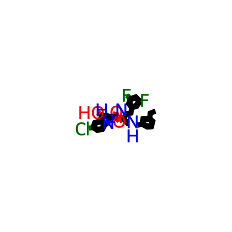 CCc1cccc(CNCC(OC(=O)c2cc(O)c3cc(Cl)ccc3n2)C(N)Cc2cc(F)cc(F)c2)c1